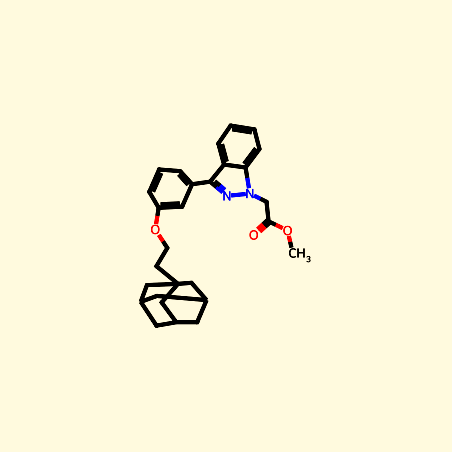 COC(=O)Cn1nc(-c2cccc(OCCC34CC5CC(CC(C5)C3)C4)c2)c2ccccc21